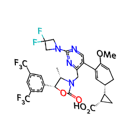 COC1=CC[C@H](C2C[C@@H]2C(=O)O)C=C1c1cnc(N2CC(F)(F)C2)nc1CN1C(=O)O[C@H](c2cc(C(F)(F)F)cc(C(F)(F)F)c2)[C@@H]1C